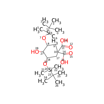 CC(C)(C)[Si](C)(C)OC1CC(C(=O)O)(C(=O)O)CC(O[Si](C)(C)C(C)(C)C)C1O